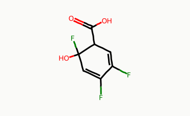 O=C(O)C1C=C(F)C(F)=CC1(O)F